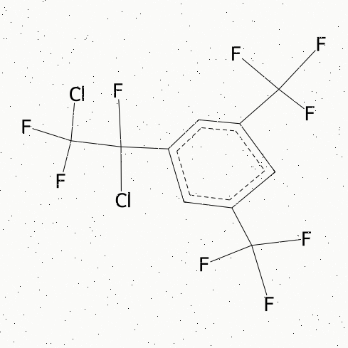 FC(F)(F)c1cc(C(F)(F)F)cc(C(F)(Cl)C(F)(F)Cl)c1